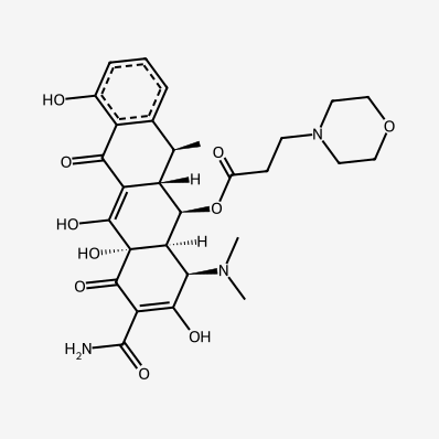 C[C@@H]1c2cccc(O)c2C(=O)C2=C(O)[C@]3(O)C(=O)C(C(N)=O)=C(O)[C@H](N(C)C)[C@@H]3[C@H](OC(=O)CCN3CCOCC3)[C@H]21